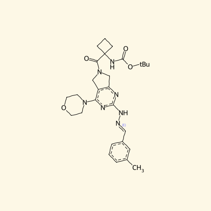 Cc1cccc(/C=N/Nc2nc3c(c(N4CCOCC4)n2)CN(C(=O)C2(NC(=O)OC(C)(C)C)CCC2)C3)c1